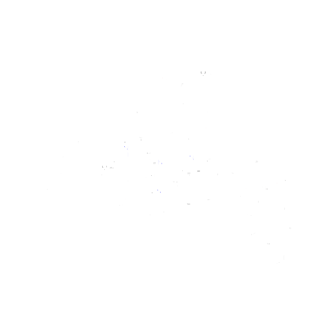 COC(=O)C(=O)Oc1c(C(=O)NCc2ccc(F)cc2)nc2n(c1=O)CC1(COS(=O)(=O)c3ccc(C)cc3)CCC2(N(C)C(=O)C(=O)OC)CC1